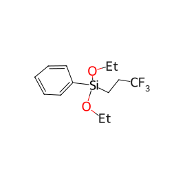 CCO[Si](CCC(F)(F)F)(OCC)c1ccccc1